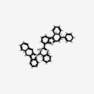 C1=CC2=Cc3c(c4ccccc4n3C3NC(c4cccc5c6c(oc45)C=C(C4=CCCC=C4)C4C=CC=CC64)=Nc4ccccc43)CC2C=C1